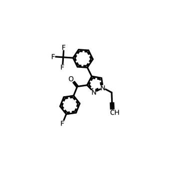 C#CCn1cc(-c2cccc(C(F)(F)F)c2)c(C(=O)c2ccc(F)cc2)n1